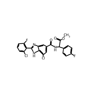 COC(=O)C(NC(=O)c1cc(Cl)c2[nH]c(-c3c(F)cccc3Cl)nc2c1)c1ccc(F)cc1